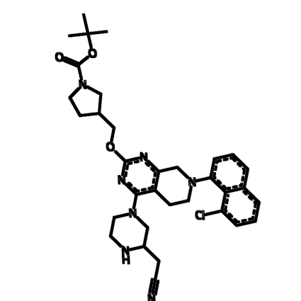 CC(C)(C)OC(=O)N1CCC(COc2nc3c(c(N4CCNC(CC#N)C4)n2)CCN(c2cccc4cccc(Cl)c24)C3)C1